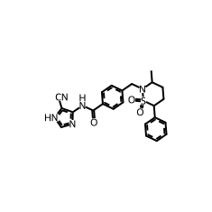 CC1CCC(c2ccccc2)S(=O)(=O)N1Cc1ccc(C(=O)Nc2nc[nH]c2C#N)cc1